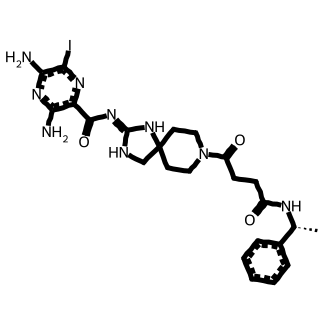 C[C@@H](NC(=O)CCC(=O)N1CCC2(CC1)CN/C(=N\C(=O)c1nc(I)c(N)nc1N)N2)c1ccccc1